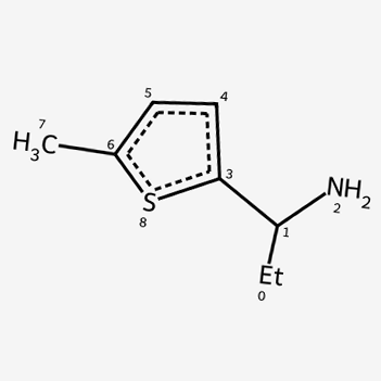 CCC(N)c1ccc(C)s1